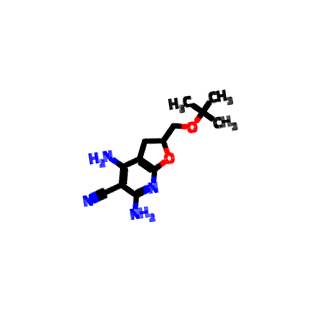 CC(C)(C)OCC1Cc2c(nc(N)c(C#N)c2N)O1